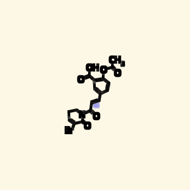 CC(=O)Oc1ccc(/C=C/C(=O)N2CCC=C(Br)C2=O)cc1C(=O)O